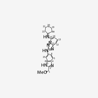 COCc1nc2ccc(Nc3nc4cccc(NC5CC[CH]CC5)n4n3)cc2[nH]1